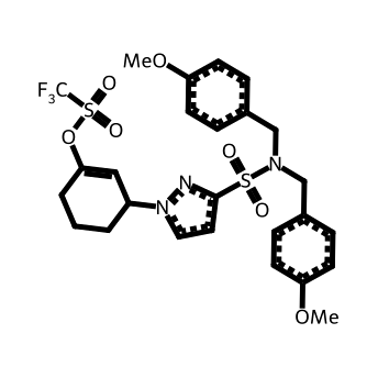 COc1ccc(CN(Cc2ccc(OC)cc2)S(=O)(=O)c2ccn(C3C=C(OS(=O)(=O)C(F)(F)F)CCC3)n2)cc1